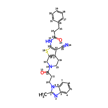 Cc1nc2ccccc2n1CCC(=O)N1CCc2c(sc(NC(=O)CCc3ccccc3)c2C#N)C1